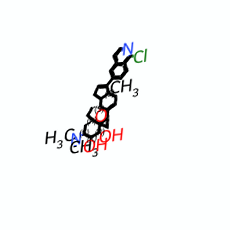 CN(C)[C@H]1C[C@@]23CC[C@@]4(O2)C(=CC[C@]2(C)C(c5ccc6c(Cl)nccc6c5)=CCC24)C2CC23[C@@H](O)[C@@H]1O